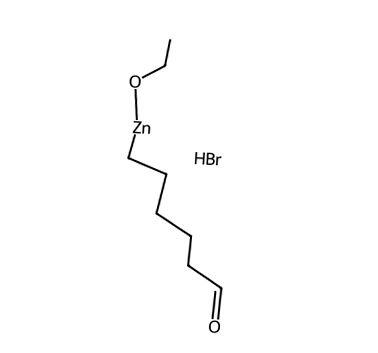 Br.CC[O][Zn][CH2]CCCCC=O